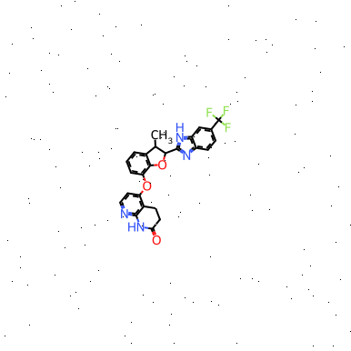 CC1c2cccc(Oc3ccnc4c3CCC(=O)N4)c2OC1c1nc2ccc(C(F)(F)F)cc2[nH]1